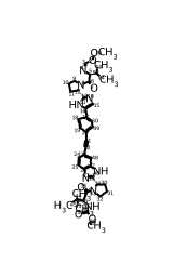 COO/C=N\[C@H](C(=O)N1CCC[C@H]1c1ncc(-c2ccc(C#Cc3ccc4nc([C@@H]5CCCN5C(=O)[C@@H](NC(=O)OC)C(C)(C)C)[nH]c4c3)cc2)[nH]1)C(C)C